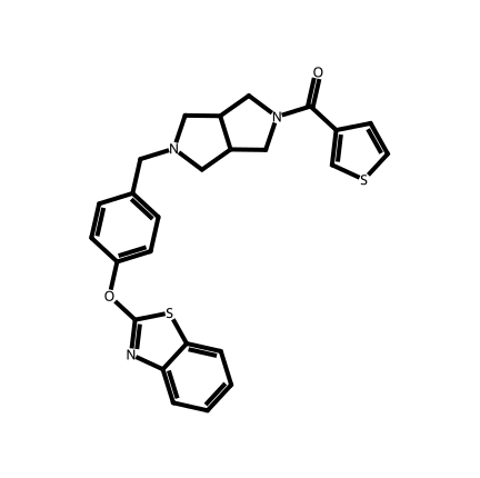 O=C(c1ccsc1)N1CC2CN(Cc3ccc(Oc4nc5ccccc5s4)cc3)CC2C1